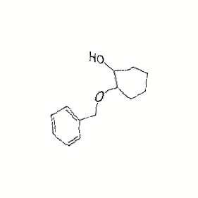 OC1CCCCC1OCc1ccccc1